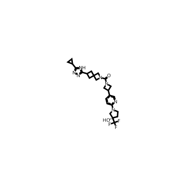 O=C(N1CC(c2ccc(N3CC[C@@](O)(C(F)(F)F)C3)nc2)C1)N1CC2(CC(c3nnc(C4CC4)[nH]3)C2)C1